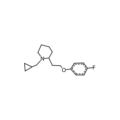 Fc1ccc(OCCC2CCCCN2CC2CC2)cc1